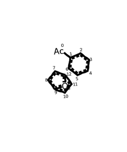 CC(=O)c1ccccc1.c1cc2ccc1o2